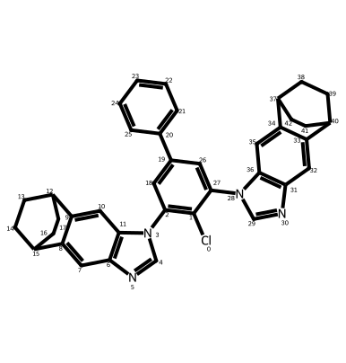 Clc1c(-n2cnc3cc4c(cc32)C2CCC4CC2)cc(-c2ccccc2)cc1-n1cnc2cc3c(cc21)C1CCC3CC1